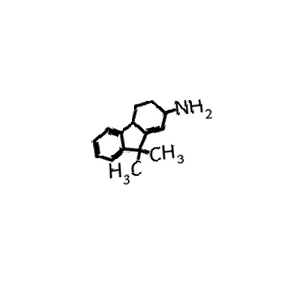 CC1(C)C2=CC(N)CCC2c2ccccc21